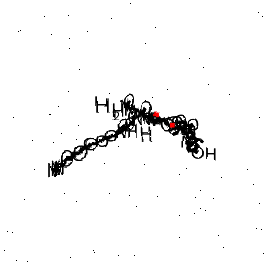 CCc1c2c(nc3ccc(O)cc13)-c1cc3c(c(=O)n1C2)COC(=O)[C@@]3(CC)OC(=O)OCc1ccc(NC(=O)[C@H](CCCNC(N)=O)NC(=O)COCC(=O)NCCOCCOCCOCCOCCOCCN=[N+]=[N-])cc1